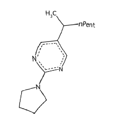 CCCCCC(C)c1cnc(N2CCCC2)nc1